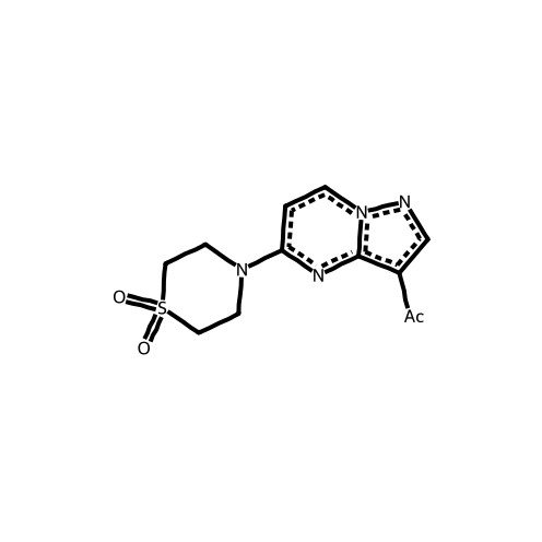 CC(=O)c1cnn2ccc(N3CCS(=O)(=O)CC3)nc12